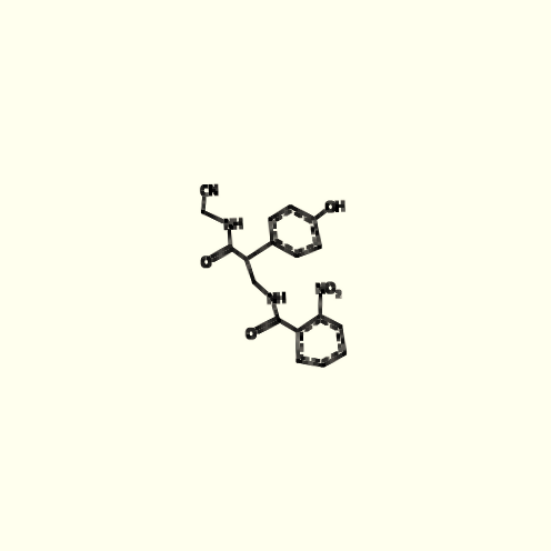 N#CCNC(=O)C(CNC(=O)c1ccccc1[N+](=O)[O-])c1ccc(O)cc1